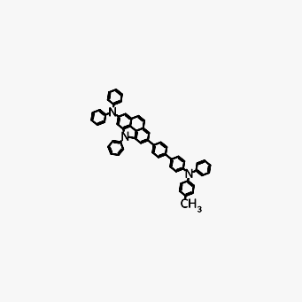 Cc1ccc(N(c2ccccc2)c2ccc(-c3ccc(-c4cc5ccc6cc(N(c7ccccc7)c7ccccc7)cc7c6c5c(c4)n7-c4ccccc4)cc3)cc2)cc1